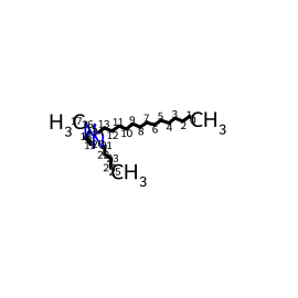 CCCCCCCCCCCCCCC1N(CC)C=CN1CCCCC